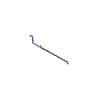 CC/C=C\C[C@H](O)\C=C/C=C/C=C/C(O)CC=CCC=CCCCCCCCCCCCCCCC(=O)O